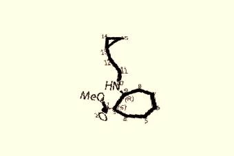 COC(=O)[C@H]1CCCCC[C@H]1NCCC1CC1